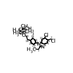 CCc1nc2cc(CCl)c(Cl)cc2n1-c1ccc(CCO[Si](C)(C)C(C)(C)C)cc1